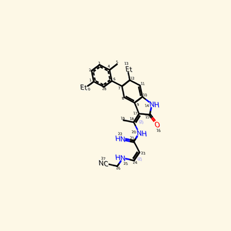 CCc1ccc(C)c(C2C=C3C(=CC2CC)NC(=O)/C3=C(/C)NC(=N)/C=C\NCC#N)c1